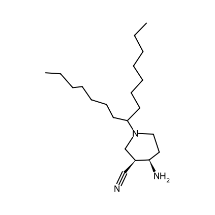 CCCCCCCC(CCCCCCC)N1CC[C@@H](N)[C@@H](C#N)C1